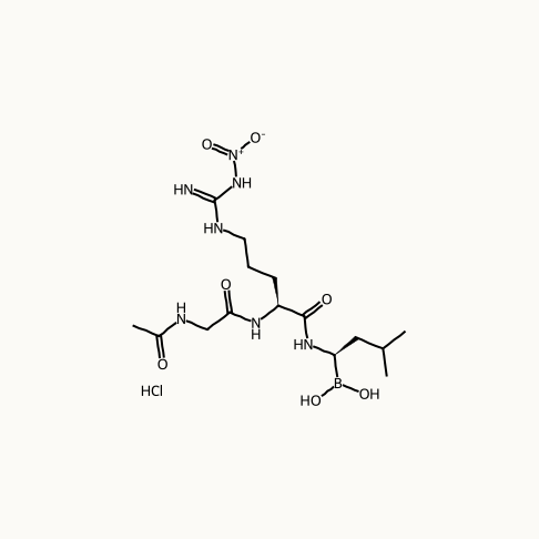 CC(=O)NCC(=O)N[C@@H](CCCNC(=N)N[N+](=O)[O-])C(=O)N[C@@H](CC(C)C)B(O)O.Cl